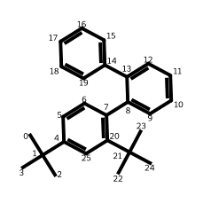 CC(C)(C)c1ccc(-c2ccccc2-c2ccccc2)c(C(C)(C)C)c1